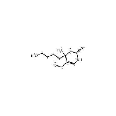 CCCCCC1(N)NC(=O)NC=C1CO